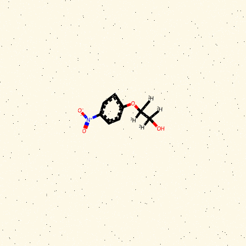 [2H]C([2H])(O)C([2H])([2H])Oc1ccc([N+](=O)[O-])cc1